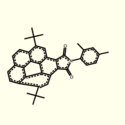 Cc1ccc(-n2c(=O)c3c4cc(C(C)(C)C)c5ccc6ccc7c(C(C)(C)C)cc(c3c2=O)c2c7c6c5c42)c(C)c1